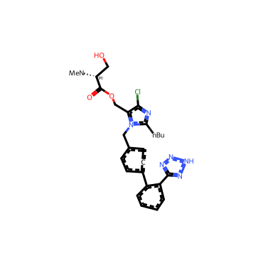 CCCCc1nc(Cl)c(COC(=O)[C@@H](CO)NC)n1Cc1ccc(-c2ccccc2-c2nn[nH]n2)cc1